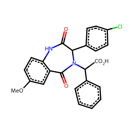 COc1ccc2c(c1)C(=O)N(C(C(=O)O)c1ccccc1)C(c1ccc(Cl)cc1)C(=O)N2